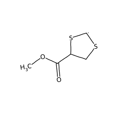 COC(=O)C1CS[CH]S1